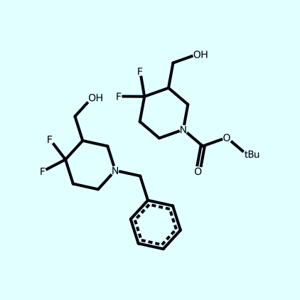 CC(C)(C)OC(=O)N1CCC(F)(F)C(CO)C1.OCC1CN(Cc2ccccc2)CCC1(F)F